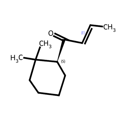 C/C=C/C(=O)[C@H]1CCCCC1(C)C